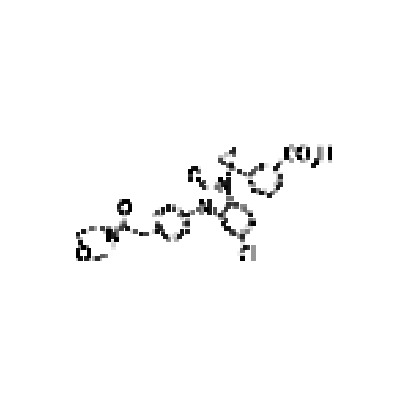 O=C(O)c1cccc(C2(n3c(=O)n(-c4ccc(CC(=O)N5CCOCC5)cc4)c4cc(Cl)ccc43)CC2)c1